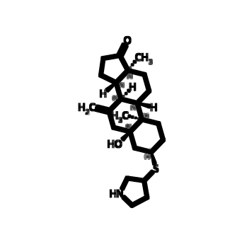 C=C1C[C@@]2(O)C[C@H](SC3CCNC3)CC[C@]2(C)[C@H]2CC[C@]3(C)C(=O)CC[C@H]3[C@H]12